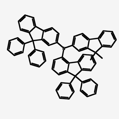 CC1(C)c2ccccc2-c2ccc(N(c3ccc4c(c3)C(c3ccccc3)(c3ccccc3)c3ccccc3-4)c3cccc4c3-c3ccccc3C4(c3ccccc3)c3ccccc3)cc21